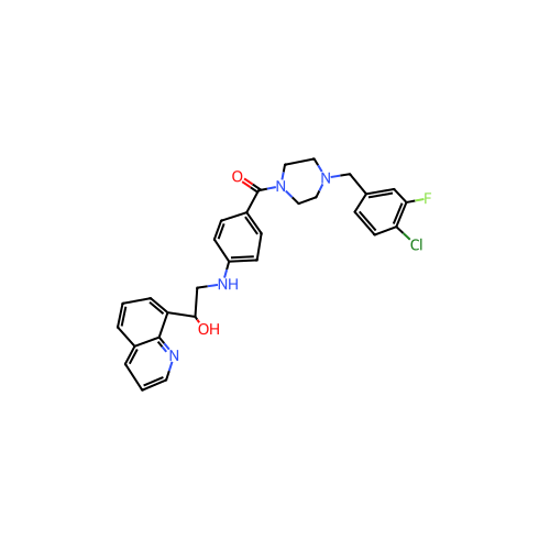 O=C(c1ccc(NCC(O)c2cccc3cccnc23)cc1)N1CCN(Cc2ccc(Cl)c(F)c2)CC1